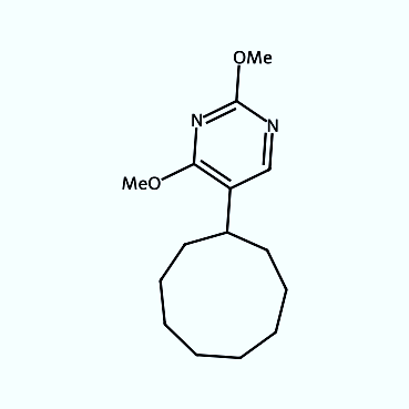 COc1ncc(C2CCCCCCCC2)c(OC)n1